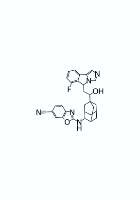 N#Cc1ccc2nc(NC3C4CC5CC3CC(C(O)CC3c6c(F)cccc6-c6cncn63)(C5)C4)oc2c1